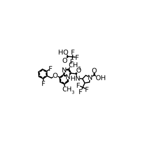 Cc1cc(OCc2c(F)cccc2F)c2nc(C)c(C(=O)NC3CN(C(=O)O)CC3C(F)(F)F)n2c1.O=C(O)C(F)(F)F